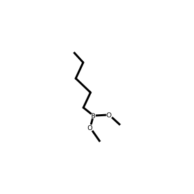 CCCCCB(OC)OC